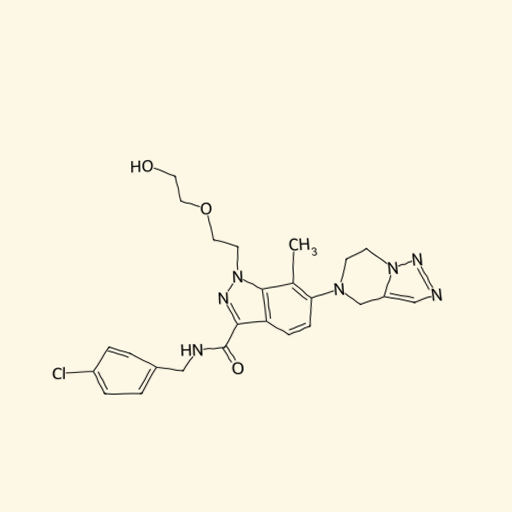 Cc1c(N2CCn3nncc3C2)ccc2c(C(=O)NCc3ccc(Cl)cc3)nn(CCOCCO)c12